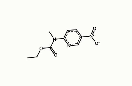 CCOC(=O)N(C)c1ccc([N+](=O)[O-])cn1